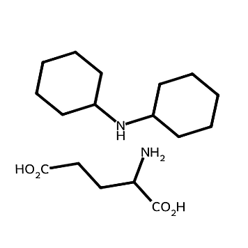 C1CCC(NC2CCCCC2)CC1.NC(CCC(=O)O)C(=O)O